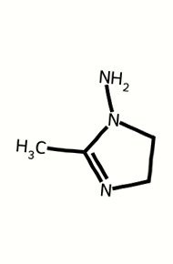 CC1=NCCN1N